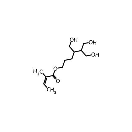 CC=C(C)C(=O)OCCCC(CO)C(CO)CO